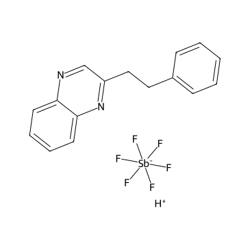 [F][Sb-]([F])([F])([F])([F])[F].[H+].c1ccc(CCc2cnc3ccccc3n2)cc1